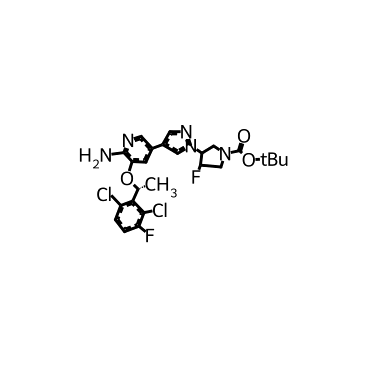 C[C@@H](Oc1cc(-c2cnn(C3CN(C(=O)OC(C)(C)C)CC3F)c2)cnc1N)c1c(Cl)ccc(F)c1Cl